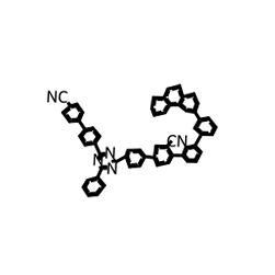 N#Cc1ccc(-c2ccc(-c3nc(-c4ccccc4)nc(-c4ccc(-c5ccc(-c6cccc(-c7cccc(-c8ccc9ccc%10ccccc%10c9c8)c7)c6)c(C#N)c5)cc4)n3)cc2)cc1